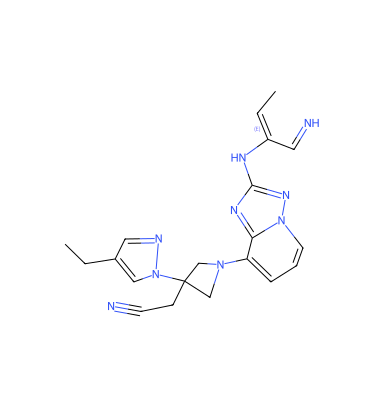 C/C=C(\C=N)Nc1nc2c(N3CC(CC#N)(n4cc(CC)cn4)C3)cccn2n1